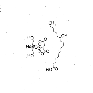 CCCCCCC(O)C/C=C\CCCCCCCC(=O)O.O=C([O-])CC(C(=O)[O-])S(=O)(=O)O.OCCOCCO.[Na+].[Na+]